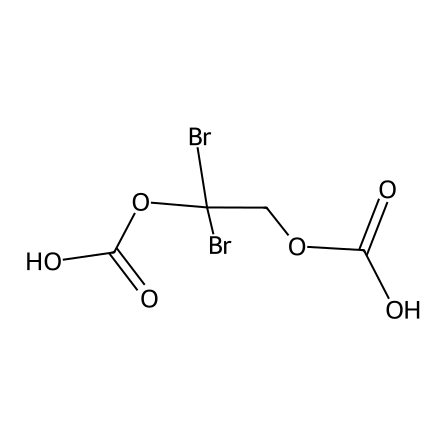 O=C(O)OCC(Br)(Br)OC(=O)O